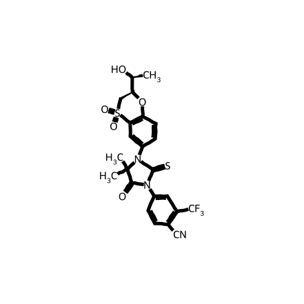 C[C@H](O)[C@@H]1CS(=O)(=O)c2cc(N3C(=S)N(c4ccc(C#N)c(C(F)(F)F)c4)C(=O)C3(C)C)ccc2O1